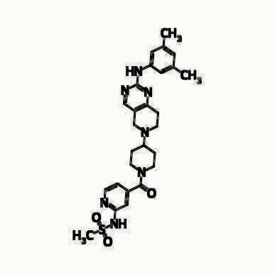 Cc1cc(C)cc(Nc2ncc3c(n2)CCN(C2CCN(C(=O)c4ccnc(NS(C)(=O)=O)c4)CC2)C3)c1